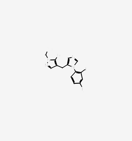 CCn1ncc(Cc2cncn2-c2ccc(F)cc2I)c1Br